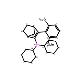 COc1cccc(OC)c1C1=C(P(C2CCCCC2)C2CCCCC2)C2CCC1C2